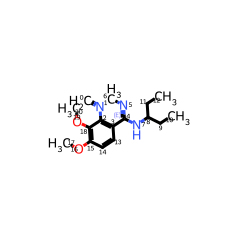 C=Nc1c(/C(=N\C)NC(CC)CC)ccc(OC)c1OC